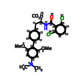 COc1cc(N(C)C)cc(OC)c1-c1ccc(C[C@H](NC(=O)c2c(Cl)cccc2Cl)C(=O)O)cc1